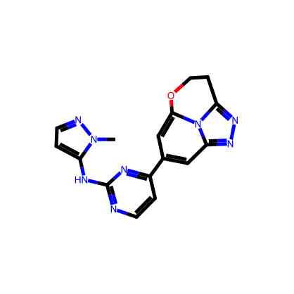 Cn1nccc1Nc1nccc(-c2cc3n4c(nnc4c2)CCO3)n1